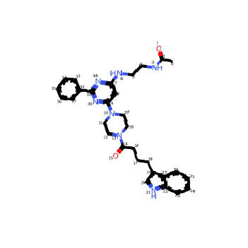 CC(=O)NCCNc1cc(N2CCN(C(=O)CCCc3c[nH]c4ccccc34)CC2)nc(-c2ccccc2)n1